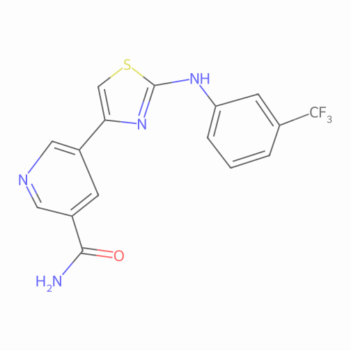 NC(=O)c1cncc(-c2csc(Nc3cccc(C(F)(F)F)c3)n2)c1